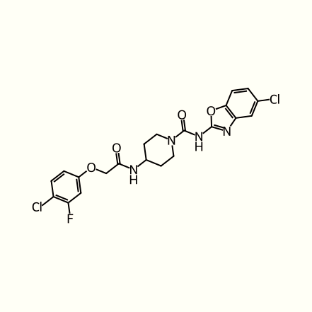 O=C(COc1ccc(Cl)c(F)c1)NC1CCN(C(=O)Nc2nc3cc(Cl)ccc3o2)CC1